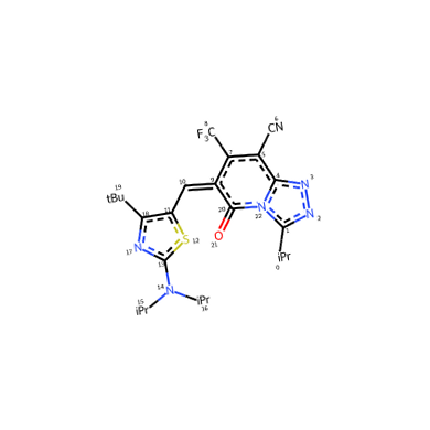 CC(C)c1nnc2c(C#N)c(C(F)(F)F)/c(=C/c3sc(N(C(C)C)C(C)C)nc3C(C)(C)C)c(=O)n12